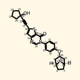 CN1[C@@H]2CC[C@H]1C[C@@H](Oc1ccc(-n3cnc4cc(C#CC5(O)CCCC5)sc4c3=O)cc1)C2